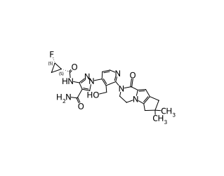 CC1(C)Cc2cc3n(c2C1)CCN(c1nccc(-n2cc(C(N)=O)c(NC(=O)[C@@H]4C[C@@H]4F)n2)c1CO)C3=O